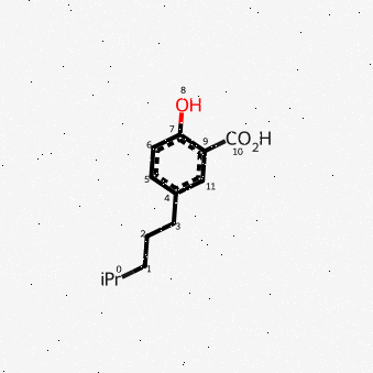 CC(C)CCCc1ccc(O)c(C(=O)O)c1